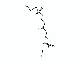 O=S(=O)(CCCl)CCCN(Cl)CCCS(=O)(=O)CCCl